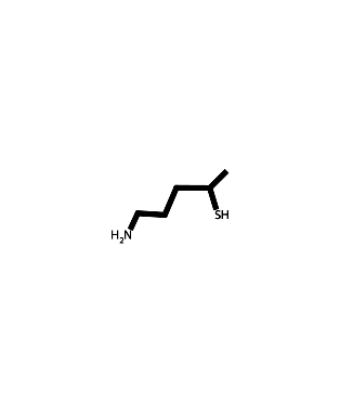 CC(S)CCCN